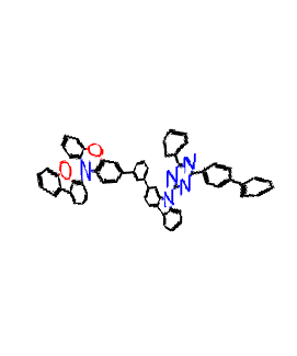 c1ccc(-c2ccc(-c3nc(-c4ccccc4)nc(-n4c5ccccc5c5ccc(-c6cccc(-c7ccc8c(c7)Oc7ccccc7N8c7cccc8c7oc7ccccc78)c6)cc54)n3)cc2)cc1